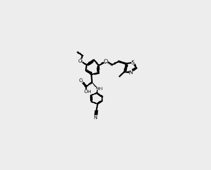 CCOc1cc(OCCc2scnc2C)cc([C@@H](Nc2ccc(C#N)cc2)C(=O)O)c1